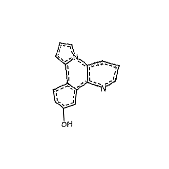 Oc1ccc2c(c1)c1ncccc1n1cccc21